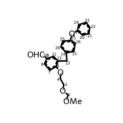 COCOCCOc1ccc(C=O)cc1Cc1ccc(Oc2ccccc2)cc1